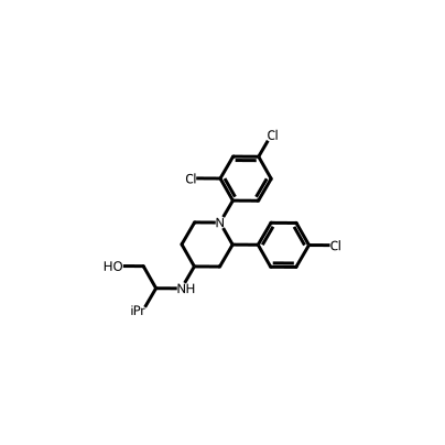 CC(C)C(CO)NC1CCN(c2ccc(Cl)cc2Cl)C(c2ccc(Cl)cc2)C1